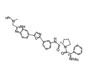 CCCN(C)Cc1nc2ccc(-c3cnc(-c4cccc(NC(=O)[C@@H]5CCCN5C(=O)[C@H](NC(C)=O)c5ccccc5)c4)o3)cc2[nH]1